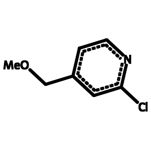 COCc1ccnc(Cl)c1